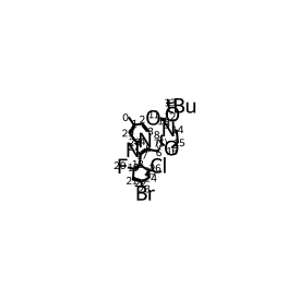 Cc1ccn2c(C[C@H]3CN(C(=O)OC(C)(C)C)CCO3)c(-c3c(F)cc(Br)cc3Cl)nc2c1